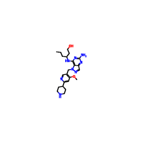 CCCC(CCO)Nc1nc(N)nc2cnn(Cc3cnc(C4CCNCC4)cc3OC)c12